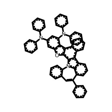 C1=C(c2ccccc2)c2cccc3c4c5ccccc5c5c(oc6cc(N(c7ccccc7)c7ccccc7)cc(N(c7ccccc7)c7ccccc7)c65)c4n(c23)-c2ccccc21